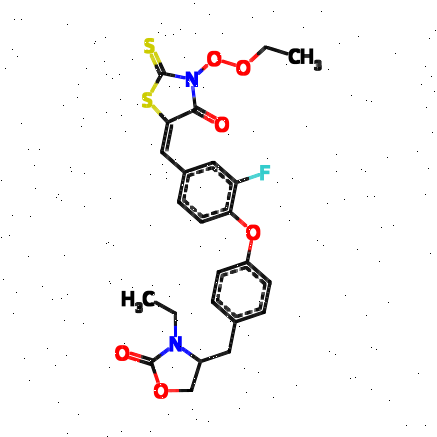 CCOON1C(=O)/C(=C\c2ccc(Oc3ccc(CC4COC(=O)N4CC)cc3)c(F)c2)SC1=S